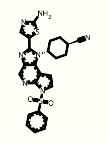 N#C[C@H]1CC[C@H](n2c(-c3cnc(N)s3)nc3cnc4c(ccn4S(=O)(=O)c4ccccc4)c32)CC1